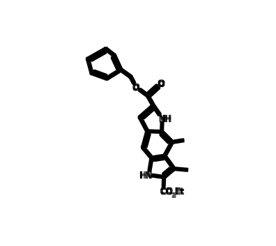 CCOC(=O)c1[nH]c2cc3cc(C(=O)OCc4ccccc4)[nH]c3c(C)c2c1C